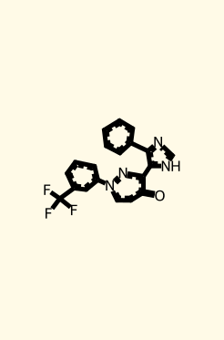 O=c1ccn(-c2cccc(C(F)(F)F)c2)nc1-c1[nH]cnc1-c1ccccc1